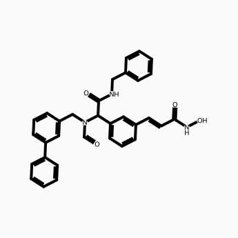 O=CN(Cc1cccc(-c2ccccc2)c1)C(C(=O)NCc1ccccc1)c1cccc(C=CC(=O)NO)c1